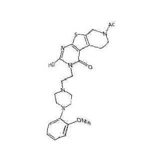 COc1ccccc1N1CCN(CCn2c(O)nc3sc4c(c3c2=O)CCN(C(C)=O)C4)CC1